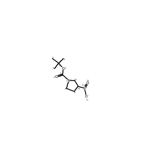 CC(C)(C)OC(=O)N1CCC([N+](=O)[O-])C1